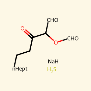 CCCCCCCCCC(=O)C(C=O)OC=O.S.[NaH]